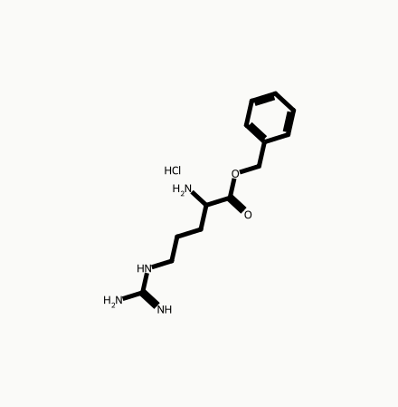 Cl.N=C(N)NCCCC(N)C(=O)OCc1ccccc1